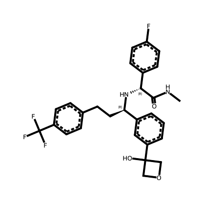 CNC(=O)[C@H](N[C@H](CCc1ccc(C(F)(F)F)cc1)c1cccc(C2(O)COC2)c1)c1ccc(F)cc1